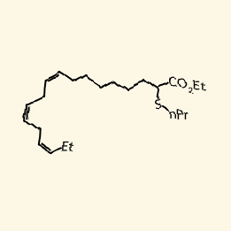 CC/C=C\C/C=C\C/C=C\CCCCCCC(SCCC)C(=O)OCC